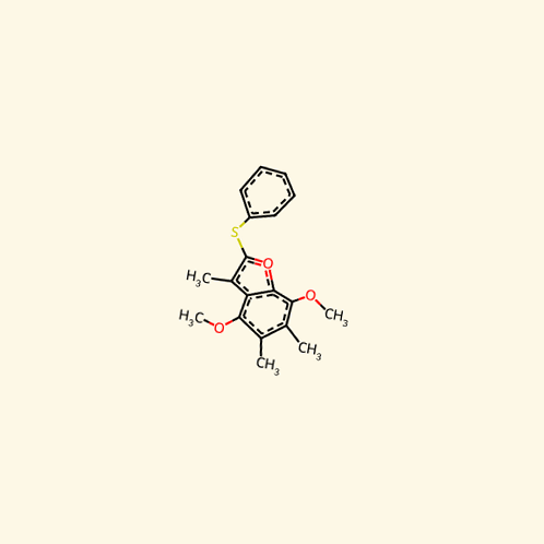 COc1c(C)c(C)c(OC)c2c(C)c(Sc3ccccc3)oc12